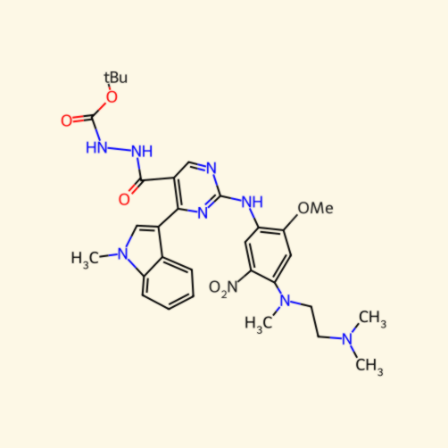 COc1cc(N(C)CCN(C)C)c([N+](=O)[O-])cc1Nc1ncc(C(=O)NNC(=O)OC(C)(C)C)c(-c2cn(C)c3ccccc23)n1